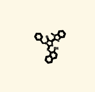 CN1C(=C2SC(=Nc3c(O)ccc4ccccc34)N(Cc3ccccc3)C2=O)Sc2ccccc21